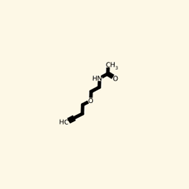 C#CCCOCCNC(C)=O